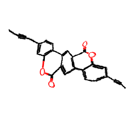 CC#Cc1ccc2c(c1)oc(=O)c1cc3c(cc12)c(=O)oc1cc(C#CC)ccc13